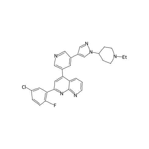 CCN1CCC(n2cc(-c3cncc(-c4cc(-c5cc(Cl)ccc5F)nc5ncccc45)c3)cn2)CC1